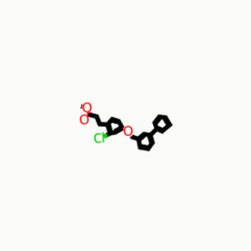 COC(=O)CCc1ccc(OCc2cccc(-c3ccccc3)c2)cc1Cl